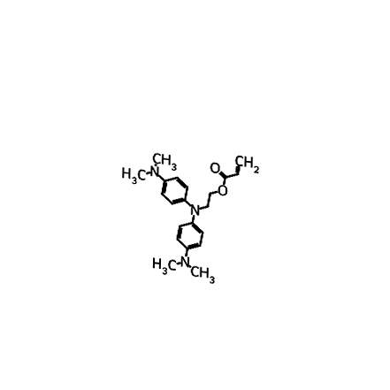 C=CC(=O)OCCN(c1ccc(N(C)C)cc1)c1ccc(N(C)C)cc1